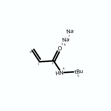 C=CC(=O)NC(C)(C)C.[Na].[Na]